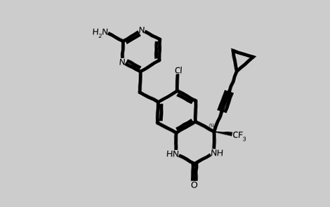 Nc1nccc(Cc2cc3c(cc2Cl)[C@@](C#CC2CC2)(C(F)(F)F)NC(=O)N3)n1